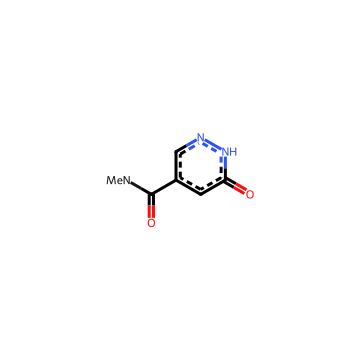 CNC(=O)c1cn[nH]c(=O)c1